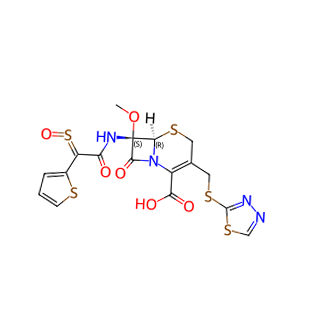 CO[C@@]1(NC(=O)C(=S=O)c2cccs2)C(=O)N2C(C(=O)O)=C(CSc3nncs3)CS[C@@H]21